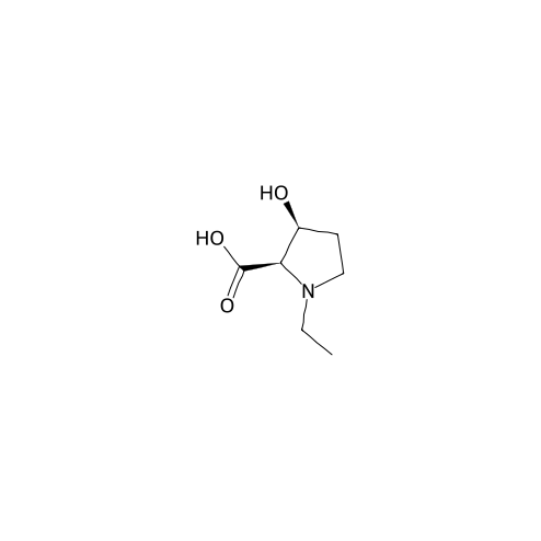 CCN1CC[C@H](O)[C@@H]1C(=O)O